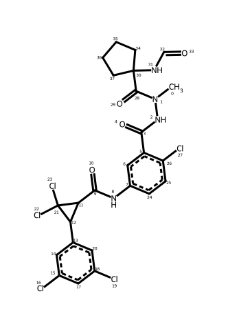 CN(NC(=O)c1cc(NC(=O)C2C(c3cc(Cl)cc(Cl)c3)C2(Cl)Cl)ccc1Cl)C(=O)C1(NC=O)CCCC1